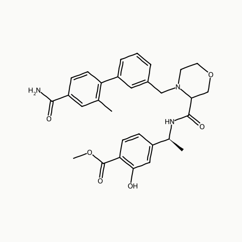 COC(=O)c1ccc([C@H](C)NC(=O)C2COCCN2Cc2cccc(-c3ccc(C(N)=O)cc3C)c2)cc1O